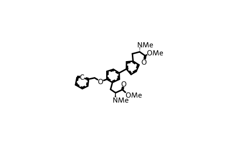 CN[C@@H](Cc1cccc(-c2ccc(OCc3ccccc3)c(C[C@H](NC)C(=O)OC)c2)c1)C(=O)OC